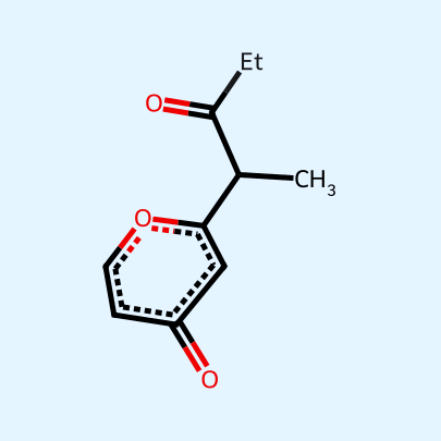 CCC(=O)C(C)c1cc(=O)cco1